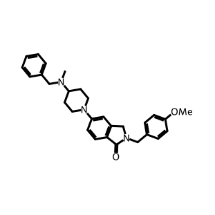 COc1ccc(CN2Cc3cc(N4CCC(N(C)Cc5ccccc5)CC4)ccc3C2=O)cc1